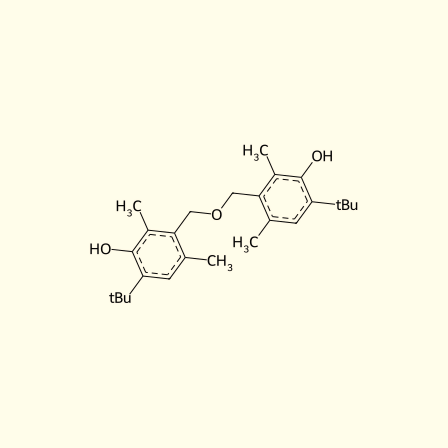 Cc1cc(C(C)(C)C)c(O)c(C)c1COCc1c(C)cc(C(C)(C)C)c(O)c1C